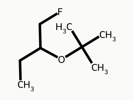 CCC(CF)OC(C)(C)C